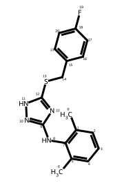 Cc1cccc(C)c1Nc1n[nH]c(SCc2ccc(F)cc2)n1